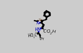 Cc1nc(C[C@H](NC(CC(C)C)C(=O)O)C(=O)O)c(Cc2ccccc2)s1